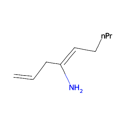 C=CCC(N)=CCCCC